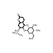 CC(=O)O.CC(=O)OC[C@H]1O[C@@H](Oc2cc3ccc(=O)oc3cc2OC(C)=O)[C@H](OC(C)=O)[C@@H](OC(C)=O)[C@@H]1OC(C)=O